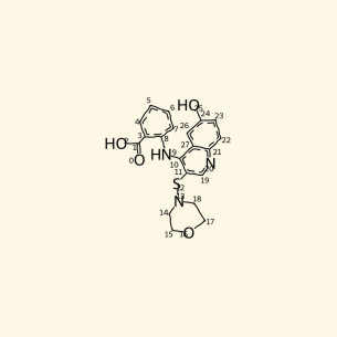 O=C(O)c1ccccc1Nc1c(SN2CCOCC2)cnc2ccc(O)cc12